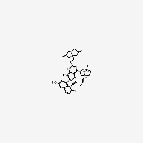 C#Cc1c(F)ccc2cc(O)cc(-c3ncc4c(N5C[C@@H]6CC[C@](C#CC)(C5)N6)nc(OCC56CC(=C)CN5CC(=C)C6)nc4c3F)c12